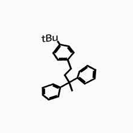 CC(C)(C)c1ccc(CCC(C)(c2ccccc2)c2ccccc2)cc1